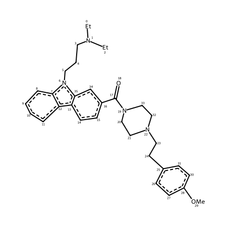 CCN(CC)CCCn1c2ccccc2c2ccc(C(=O)N3CCN(CCc4ccc(OC)cc4)CC3)cc21